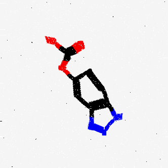 O=C(O)Oc1ccc2[nH]nnc2c1